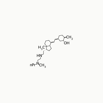 C=C1CC/C(=C/C=C2\CCCC3(C)C2CC[C@@H]3CCNCCN(C)CCC)CC1O